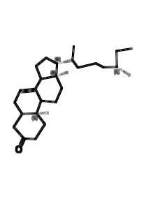 CC[C@H](C)CCCC(C)[C@H]1CCC2C3=CCC4CC(=O)CC[C@]4(C)C3CC[C@@]21C